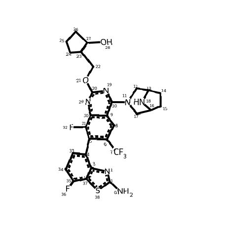 Nc1nc2c(-c3c(C(F)(F)F)cc4c(N5CC6CCC(C5)N6)nc(OCC5CCCC5O)nc4c3F)ccc(F)c2s1